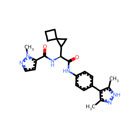 Cc1n[nH]c(C)c1-c1ccc(NC(=O)[C@@H](NC(=O)c2ccnn2C)C2CC23CCC3)cc1